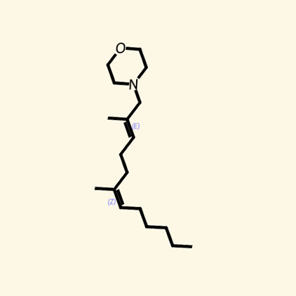 CCCCC/C=C(/C)CC/C=C(\C)CN1CCOCC1